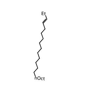 [CH2]CC=CCCCCCCCCCCCCCCCCC[CH2]